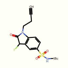 C#CCCN1C(=O)C(F)c2cc(S(=O)(=O)NC(C)(C)C)ccc21